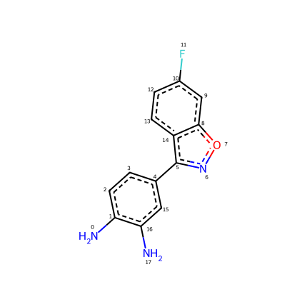 Nc1ccc(-c2noc3cc(F)ccc23)cc1N